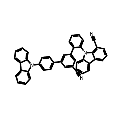 N#Cc1cc(-c2ccc(-n3c4ccccc4c4ccccc43)cc2)cc(-c2ccccc2-n2c3ccccc3c3cccc(C#N)c32)c1